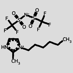 CCCCCC[n+]1cc[nH]c1C.O=S(=O)([N-]S(=O)(=O)C(F)(F)F)C(F)(F)F